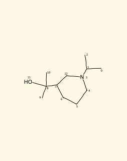 CC(C)N1CCCC(C(C)(C)O)C1